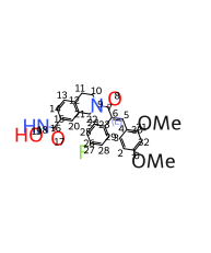 COc1ccc(/C=C(/C(=O)N2CCc3ccc(C(=O)NO)cc3C2)c2ccc(F)cc2)c(OC)c1